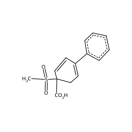 CS(=O)(=O)C1(C(=O)O)C=CC(c2ccccc2)=CC1